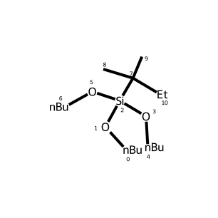 CCCCO[Si](OCCCC)(OCCCC)C(C)(C)CC